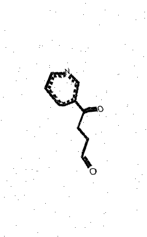 O=CCCC(=O)c1cccnc1